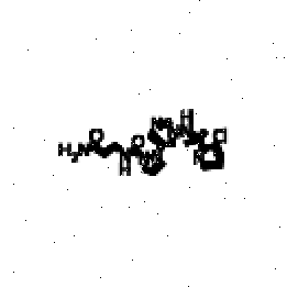 CC(C)(NN1C=NC=C(N2C=CCN2C(=O)NCCC(N)=O)C1)c1ncccc1Cl